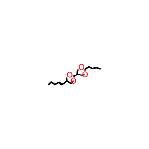 CCCC=CC1COC(C2COC(CCCC)OC2)OC1